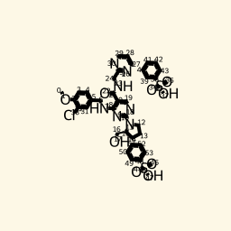 COc1ccc(CNc2nc(N3CCC[C@H]3CO)ncc2C(=O)NCc2ncccn2)cc1Cl.O=S(=O)(O)c1ccccc1.O=S(=O)(O)c1ccccc1